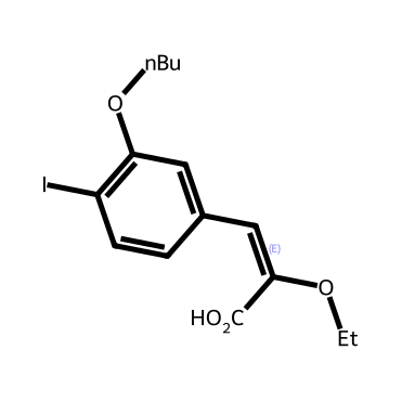 CCCCOc1cc(/C=C(/OCC)C(=O)O)ccc1I